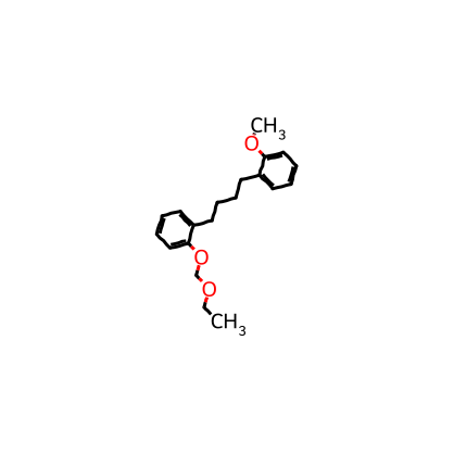 CCOCOc1ccccc1CCCCc1ccccc1OC